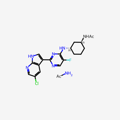 CC(=O)N[C@H]1CCC[C@H](Nc2nc(-c3c[nH]c4ncc(Cl)cc34)ncc2F)C1.CC(N)=O